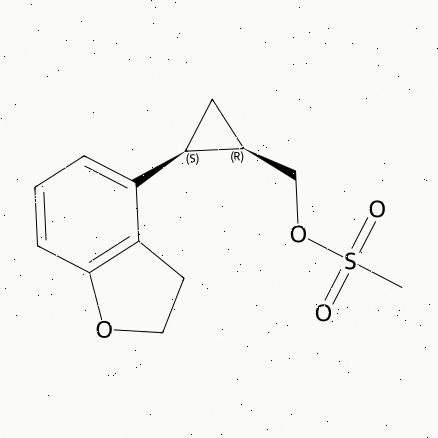 CS(=O)(=O)OC[C@@H]1C[C@@H]1c1cccc2c1CCO2